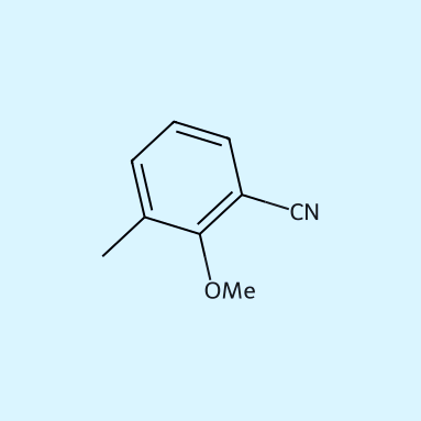 COc1c(C)cccc1C#N